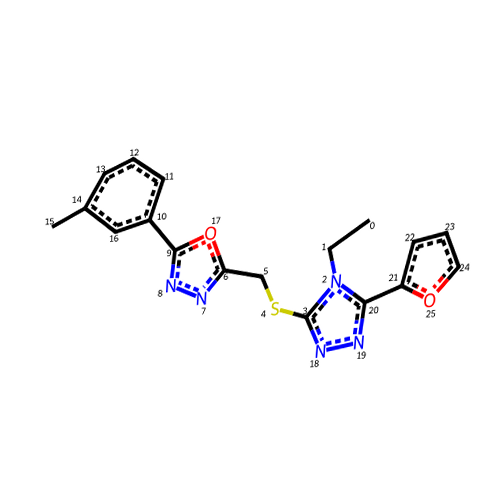 CCn1c(SCc2nnc(-c3cccc(C)c3)o2)nnc1-c1ccco1